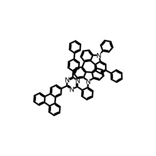 c1ccc(-c2ccc(-c3nc(-c4ccc5c6ccccc6c6ccccc6c5c4)nc(-c4ccccc4-n4c5ccccc5c5c(-c6cccc7c6c6ccc(-c8ccccc8)cc6n7-c6ccccc6)cccc54)n3)cc2)cc1